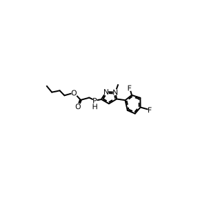 CCCCOC(=O)CPc1cc(-c2ccc(F)cc2F)n(C)n1